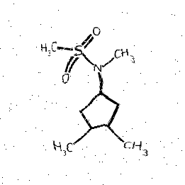 CC1CC(N(C)S(C)(=O)=O)CC1C